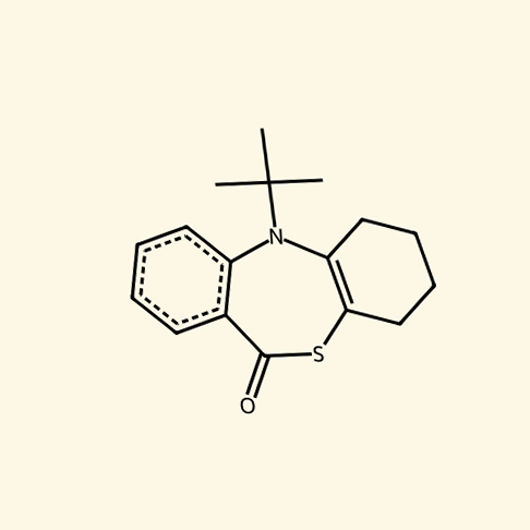 CC(C)(C)N1C2=C(CCCC2)SC(=O)c2ccccc21